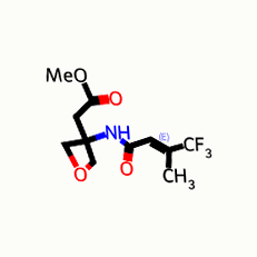 COC(=O)CC1(NC(=O)/C=C(\C)C(F)(F)F)COC1